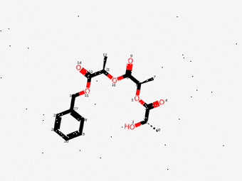 C[C@H](O)C(=O)O[C@H](C)C(=O)O[C@H](C)C(=O)OCc1ccccc1